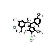 CC1=C(C)[C]([Ti+3])(C([SiH2]c2cc(C)cc(C)c2)c2cccc(C)c2)C(C)=C1C.[Cl-].[Cl-].[Cl-]